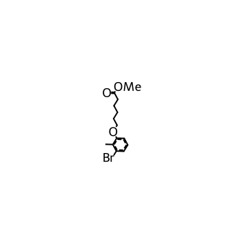 COC(=O)CCCCCOc1cccc(Br)c1C